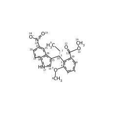 CC[C@H](c1c(OC)cccc1C(=O)OC)c1c[nH]c2ccc([N+](=O)[O-])cc12